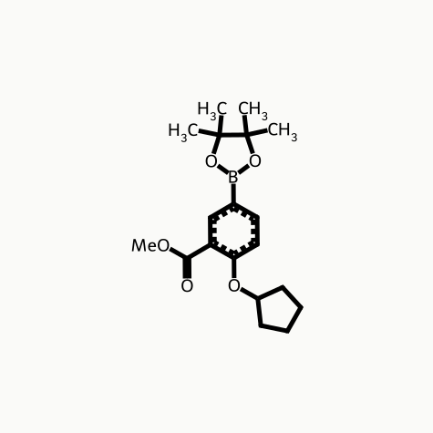 COC(=O)c1cc(B2OC(C)(C)C(C)(C)O2)ccc1OC1CCCC1